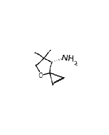 CC1(C)COC2(CC2)[C@H]1N